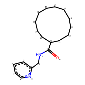 O=C(NCc1ccccn1)C1CCCCCCCCCCC1